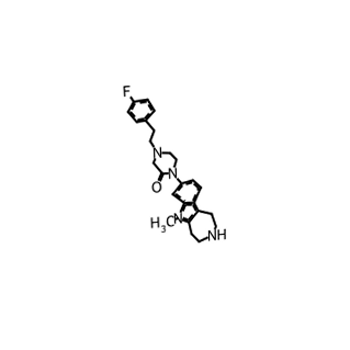 Cn1c2c(c3ccc(N4CCN(CCc5ccc(F)cc5)CC4=O)cc31)CCNCC2